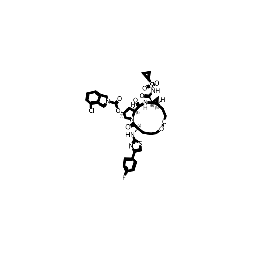 O=C1N[C@]2(C(=O)NS(=O)(=O)C3CC3)C[C@H]2CCCOCCC[C@H](Nc2nc(-c3ccc(F)cc3)cs2)C(=O)N2C[C@H](OC(=O)N3Cc4cccc(Cl)c4C3)C[C@@H]12